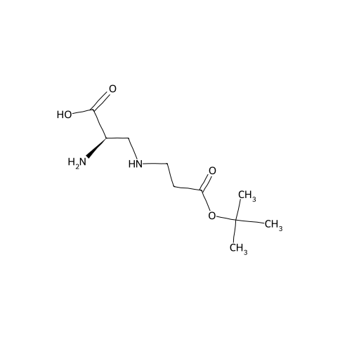 CC(C)(C)OC(=O)CCNC[C@@H](N)C(=O)O